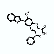 COc1cc(OCC(=O)O)c(/C=C/C(=O)c2ccccc2)cc1-c1cc2ccccc2s1